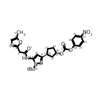 Cc1cnc(CC(=O)Nc2cc([C@H]3CC[C@@H](OC(=O)Oc4ccc([N+](=O)[O-])cc4)C3)nn2C(C)(C)C)o1